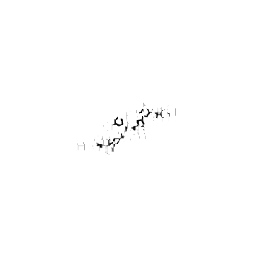 CC(C)Nc1cc(-c2c[nH]c(C(=O)NC(COC(=O)C3CN(C(=O)OC(C)(C)C)C3)c3cccc(Cl)c3)c2)c(Cl)cn1